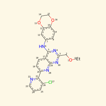 CCOCc1nc(Nc2ccc3c(c2)OCCO3)c2ccc(-c3ncccc3Cl)nc2n1